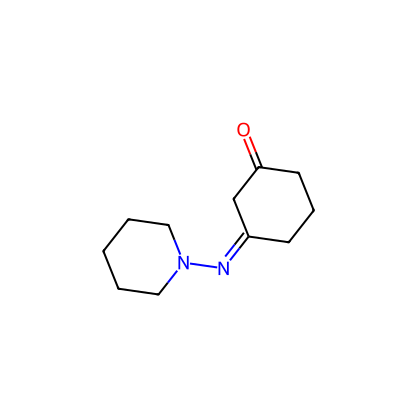 O=C1CCC/C(=N/N2CCCCC2)C1